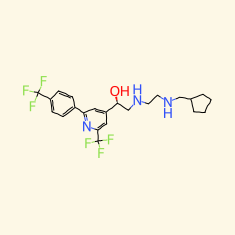 O[C@@H](CNCCNCC1CCCC1)c1cc(-c2ccc(C(F)(F)F)cc2)nc(C(F)(F)F)c1